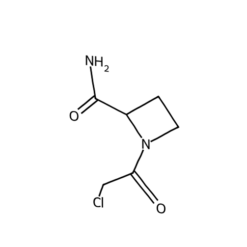 NC(=O)C1CCN1C(=O)CCl